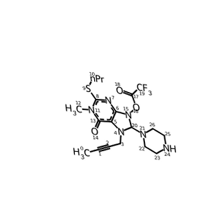 CC#CCN1c2c(nc(SCCC)n(C)c2=O)N(OC(=O)C(F)(F)F)C1N1CCNCC1